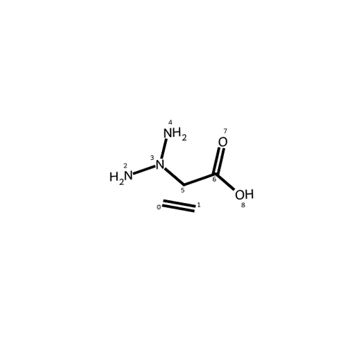 C=C.NN(N)CC(=O)O